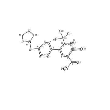 NC(=O)c1cc(-c2ccc(CN3CCCC3)cc2)c(C(F)(F)F)[nH]c1=O